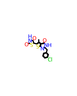 Cc1c(C2SC(=O)NC2=O)sc2nc(Cc3cccc(Cl)c3)[nH]c(=O)c12